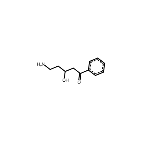 NCCC(O)CC(=O)c1ccccc1